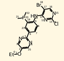 CCOc1cnc(-c2ccc(Nc3nc(Cl)ncc3Br)c(P(C)C)c2)nc1